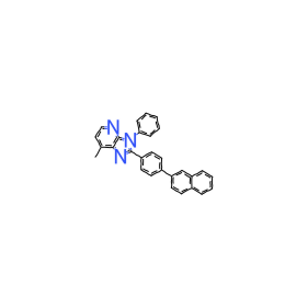 Cc1ccnc2c1nc(-c1ccc(-c3ccc4ccccc4c3)cc1)n2-c1ccccc1